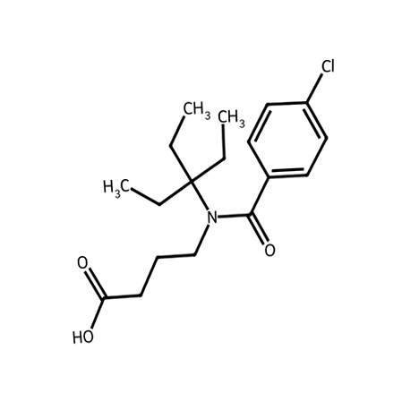 CCC(CC)(CC)N(CCCC(=O)O)C(=O)c1ccc(Cl)cc1